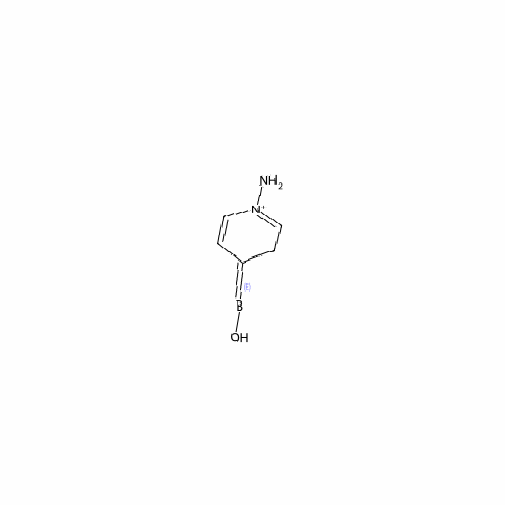 N[N+]1=CC/C(=B\O)C=C1